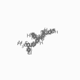 CC1(C)CCC(CN2CCN(c3ccc(C(=O)NS(=O)(=O)c4ccc(NCC5CC[SH](O)(=NC6CC6)CC5)c([N+](=O)[O-])c4)c(Oc4cnc5[nH]ccc5c4)c3)CC2)=C(c2ccc(Cl)cc2)C1